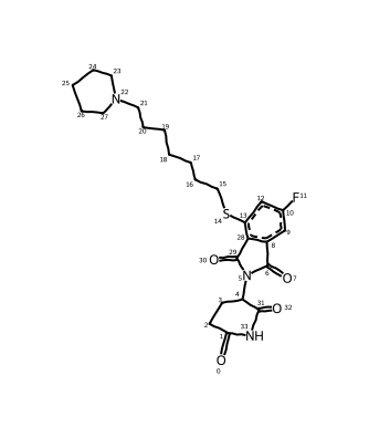 O=C1CCC(N2C(=O)c3cc(F)cc(SCCCCCCCN4CCCCC4)c3C2=O)C(=O)N1